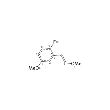 COC=Cc1cc(OC)ccc1F